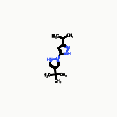 CC(C)c1cc(-[n+]2cc(C(C)(C)C)c[nH]2)[nH]n1